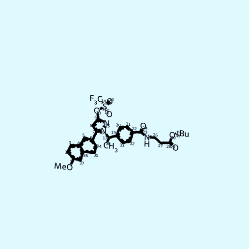 COc1ccc2cc(-c3cc(OS(=O)(=O)C(F)(F)F)nn3C(C)c3ccc(C(=O)NCCC(=O)OC(C)(C)C)cc3)ccc2c1